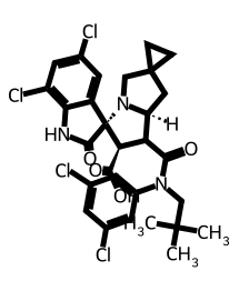 CC(C)(C)CN(C(=O)C1[C@@H](C(=O)O)[C@]2(C(=O)Nc3c(Cl)cc(Cl)cc32)N2CC3(CC3)C[C@@H]12)c1cc(Cl)cc(Cl)c1